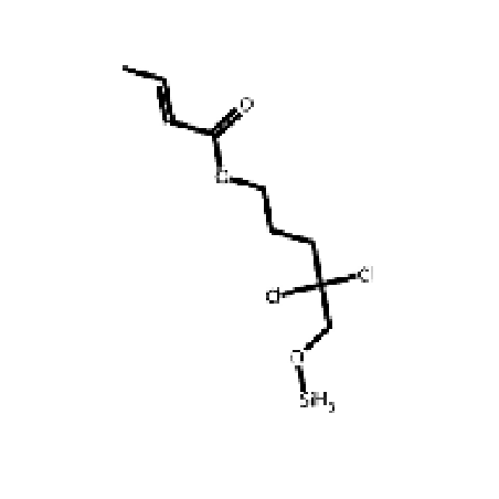 CC=CC(=O)OCCCC(Cl)(Cl)CO[SiH3]